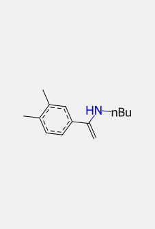 C=C(NCCCC)c1ccc(C)c(C)c1